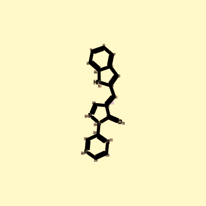 O=C1/C(=C/c2cc3ccccc3[nH]2)C=NN1c1cnccn1